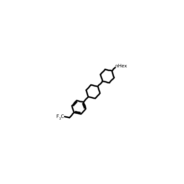 CCCCCCC1CCC(C2CCC(c3ccc(CC(F)(F)F)cc3)CC2)CC1